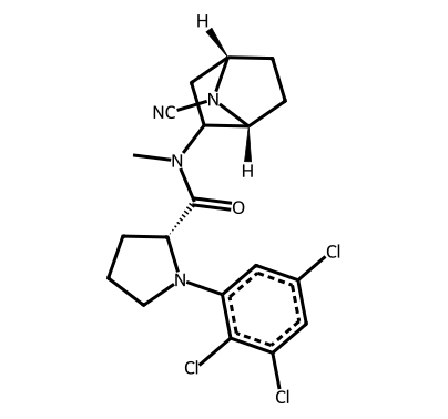 CN(C(=O)[C@H]1CCCN1c1cc(Cl)cc(Cl)c1Cl)C1C[C@@H]2CC[C@H]1N2C#N